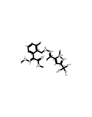 CO/N=C(/C(=O)OC)c1cccc(C)c1CO/N=C(\C)c1cc(C(F)(F)F)nn1C